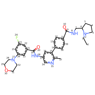 CCN1CCCC1CNC(=O)c1ccc(-c2cc(NC(=O)c3cc(F)cc(N4CCOCC4)c3)cnc2C)cc1